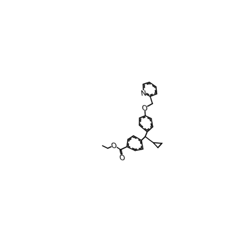 CCOC(=O)c1ccc(C(c2ccc(OCc3ccccn3)cc2)C2CC2)cc1